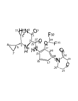 NC(=O)[C@H](NC(C1CC1)C1CC1)C(=O)Nc1ccc(N2CCOCC2=O)cc1OC(F)F